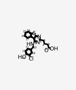 O=C(O)CCCc1nc(NCc2ccc(O)c(Cl)c2)c2c(n1)sc1ccccc12